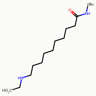 CCCCNC(=O)CCCCCCCCCNCC(=O)O